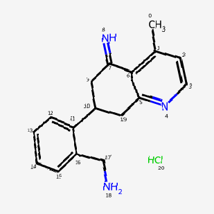 Cc1ccnc2c1C(=N)CC(c1ccccc1CN)C2.Cl